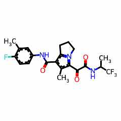 Cc1cc(NC(=O)c2c(C)c(C(=O)C(=O)NC(C)C(F)(F)F)n3c2CCC3)ccc1F